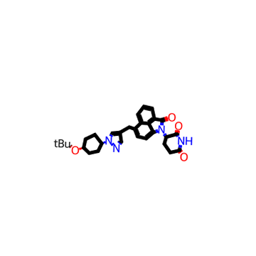 CC(C)(C)O[C@H]1CC[C@@H](n2cc(Cc3ccc4c5c(cccc35)C(=O)N4C3CCC(=O)NC3=O)cn2)CC1